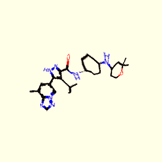 Cc1cc(-c2[nH]nc(C(=O)N[C@H]3CC[C@H](NC4CCOC(C)(C)C4)CC3)c2C(C)C)cn2ncnc12